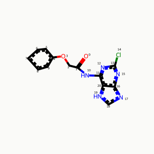 O=C(COc1ccccc1)Nc1nc(Cl)nc2nc[nH]c12